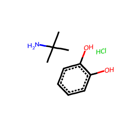 CC(C)(C)N.Cl.Oc1ccccc1O